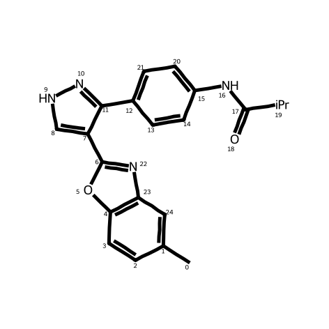 Cc1ccc2oc(-c3c[nH]nc3-c3ccc(NC(=O)C(C)C)cc3)nc2c1